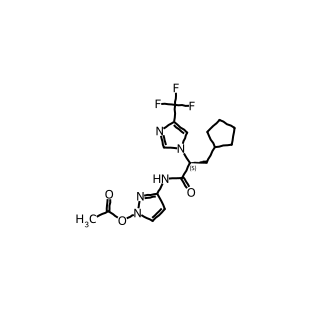 CC(=O)On1ccc(NC(=O)[C@H](CC2CCCC2)n2cnc(C(F)(F)F)c2)n1